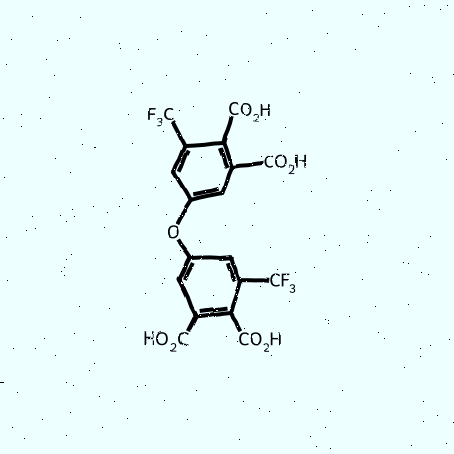 O=C(O)c1cc(Oc2cc(C(=O)O)c(C(=O)O)c(C(F)(F)F)c2)cc(C(F)(F)F)c1C(=O)O